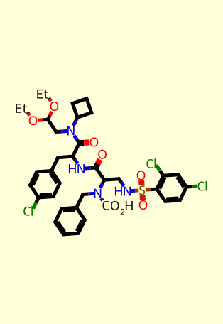 CCOC(CN(C(=O)C(Cc1ccc(Cl)cc1)NC(=O)C(CNS(=O)(=O)c1ccc(Cl)cc1Cl)N(Cc1ccccc1)C(=O)O)C1CCC1)OCC